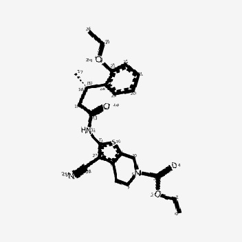 CCOC(=O)N1CCc2c(sc(NC(=O)C[C@H](C)c3ccccc3OCC)c2C#N)C1